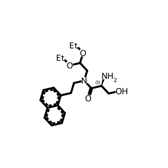 CCOC(CN(CCc1cccc2ccccc12)C(=O)[C@@H](N)CO)OCC